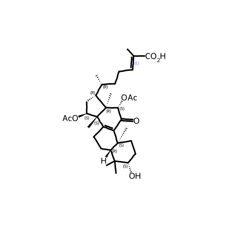 CC(=O)O[C@@H]1C(=O)C2=C(CC[C@H]3C(C)(C)[C@@H](O)CC[C@]23C)[C@]2(C)[C@@H](OC(C)=O)C[C@H]([C@H](C)CC/C=C(\C)C(=O)O)[C@@]12C